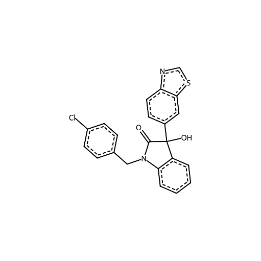 O=C1N(Cc2ccc(Cl)cc2)c2ccccc2C1(O)c1ccc2ncsc2c1